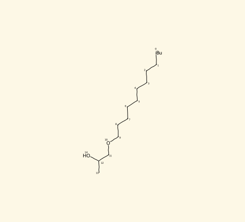 CCC(C)CCCCCCCCCOCC(C)O